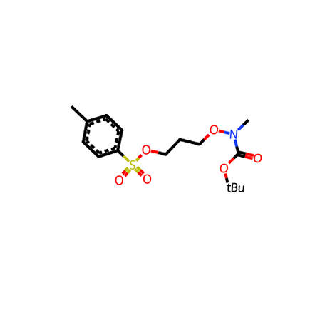 Cc1ccc(S(=O)(=O)OCCCON(C)C(=O)OC(C)(C)C)cc1